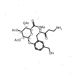 COC(=O)[C@H]1O[C@@H](Oc2ccc(CO)cc2CNC(=O)CCN)[C@H](OC(C)=O)[C@@H](OC(C)=O)[C@@H]1OC(C)=O